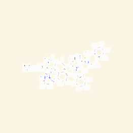 COc1ncc(C=CC(=O)N(Cc2ccc(-n3ccnn3)cc2)[C@@H](Cc2ccccc2)C(=O)N2CCc3ccccc3C2)cn1